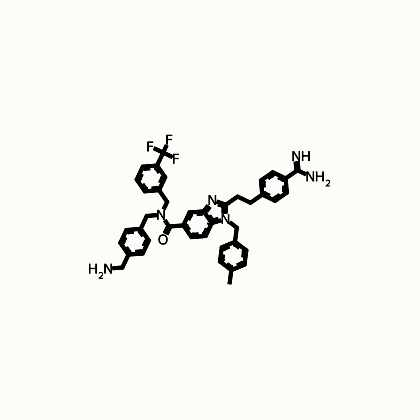 Cc1ccc(Cn2c(CCc3ccc(C(=N)N)cc3)nc3cc(C(=O)N(Cc4ccc(CN)cc4)Cc4cccc(C(F)(F)F)c4)ccc32)cc1